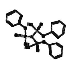 O=P(O)(Oc1ccccc1)N(P(=O)(O)Oc1ccccc1)P(=O)(O)Oc1ccccc1